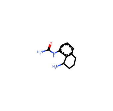 NC(=O)Nc1cccc2c1C(N)CCC2